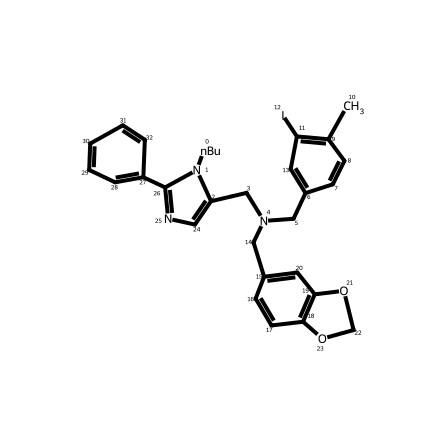 CCCCn1c(CN(Cc2ccc(C)c(I)c2)Cc2ccc3c(c2)OCO3)cnc1-c1ccccc1